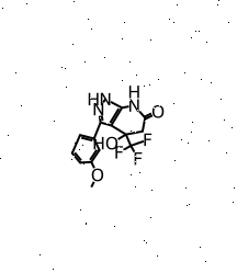 COc1cccc(-c2n[nH]c3c2C(O)(C(F)(F)F)CC(=O)N3)c1